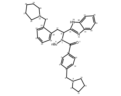 CCCCN(C(=O)c1ccc(CN2CCCC2)cc1)C(Cc1ccccc1CN1CCCCC1)c1nc2ccccc2[nH]1